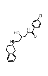 O=C(NCC(O)CNC1CCc2ccccc2C1)c1ccc(Cl)cc1